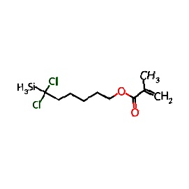 C=C(C)C(=O)OCCCCCC([SiH3])(Cl)Cl